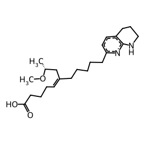 CO[C@H](C)C/C(=C\CCCC(=O)O)CCCCCc1ccc2c(n1)NCCC2